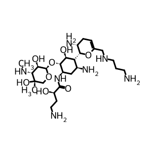 CN[C@@H]1[C@@H](O)[C@@H](O[C@H]2[C@H](NC(=O)[C@H](O)CCN)C[C@H](N)C([C@H]3OC(CNCCCN)=CC[C@H]3N)[C@@H]2O)OC[C@]1(C)O